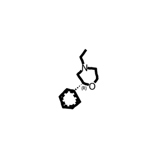 CCN1CCO[C@H](c2ccccc2)C1